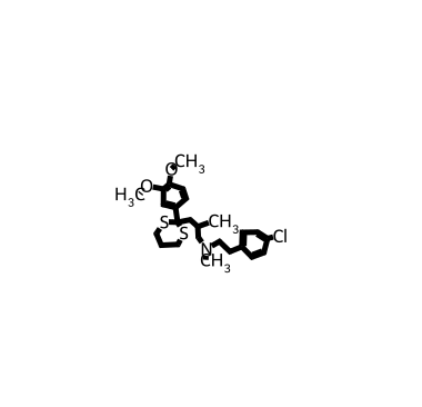 COc1ccc(C2(CC(C)CN(C)CCc3ccc(Cl)cc3)SCCCS2)cc1OC